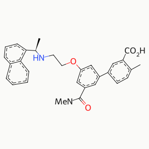 CNC(=O)c1cc(OCCN[C@H](C)c2cccc3ccccc23)cc(-c2ccc(C)c(C(=O)O)c2)c1